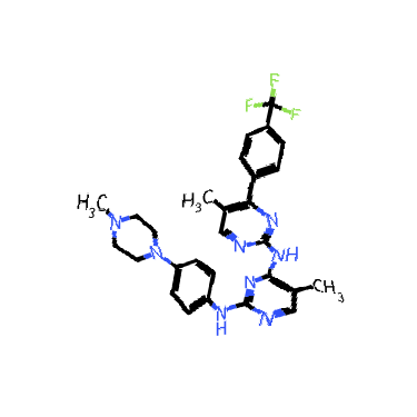 Cc1cnc(Nc2ccc(N3CCN(C)CC3)cc2)nc1Nc1ncc(C)c(-c2ccc(C(F)(F)F)cc2)n1